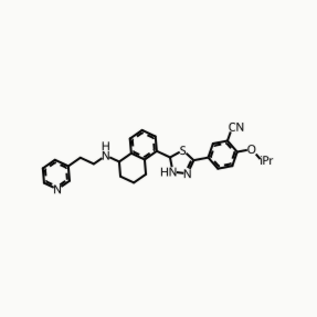 CC(C)Oc1ccc(C2=NNC(c3cccc4c3CCCC4NCCc3cccnc3)S2)cc1C#N